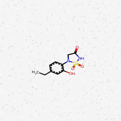 CCc1ccc(N2CC(=O)NS2(=O)=O)c(O)c1